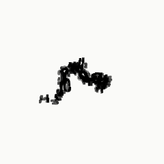 CCOCCC(=O)N1CCC[C@@H](c2nc(-c3ccc(C(=O)Nc4cc(C(F)(F)F)ccn4)cc3)c3c(N)ncnn23)C1